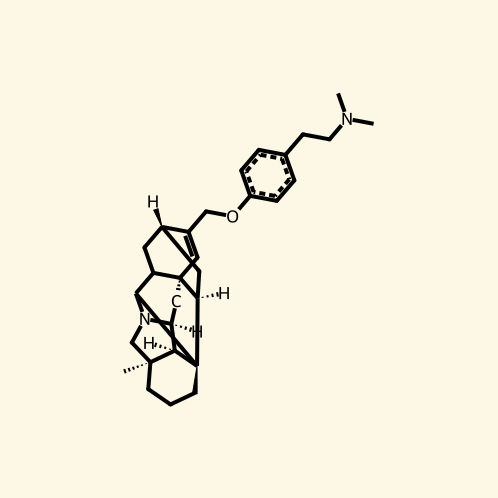 CN(C)CCc1ccc(OCC2=C[C@]34C[C@H]5[C@@H]6[C@@]7(C)CCC[C@]68C(C3C[C@H]2C[C@@H]84)N5C7)cc1